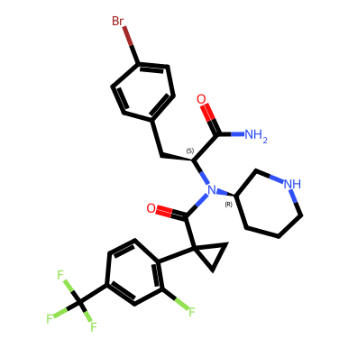 NC(=O)[C@H](Cc1ccc(Br)cc1)N(C(=O)C1(c2ccc(C(F)(F)F)cc2F)CC1)[C@@H]1CCCNC1